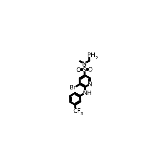 CN(CP)S(=O)(=O)c1cnc(Nc2cccc(C(F)(F)F)c2)c(Br)c1